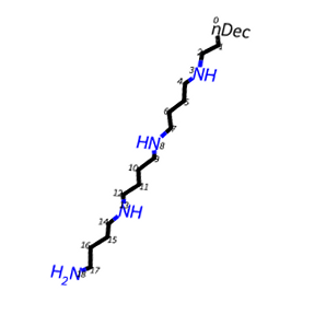 CCCCCCCCCCCCNCCCCNCCCCNCCCCN